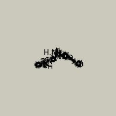 Cc1c(C(=O)Nc2ccc(-c3nc(-c4ccc(OCCCN5CCOCC5)cc4)cnc3N)cc2)c(=O)n(-c2ccccc2)n1C